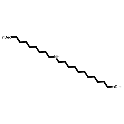 CCCCCCCCCCCCCCCCCCCCCNCCCCCCCCCCCCCCCCCC